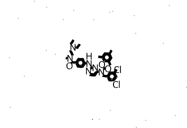 CCN(CC)CCN(C)C(=O)c1ccc(Nc2nccc(N(Cc3cc(Cl)cc(Cl)c3)C(=O)Oc3c(C)cc(C)cc3C)n2)cc1